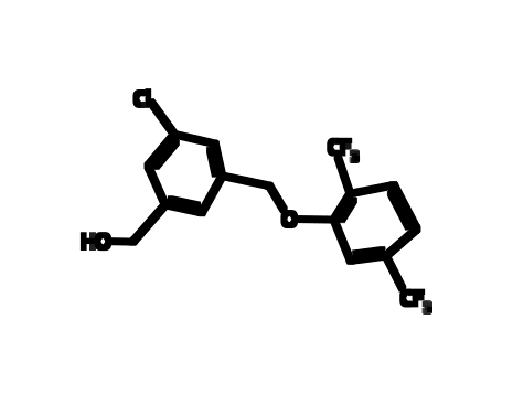 OCc1cc(Cl)cc(COc2cc(C(F)(F)F)ccc2C(F)(F)F)c1